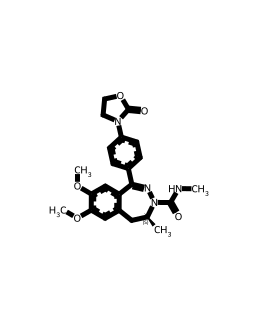 CNC(=O)N1N=C(c2ccc(N3CCOC3=O)cc2)c2cc(OC)c(OC)cc2C[C@@H]1C